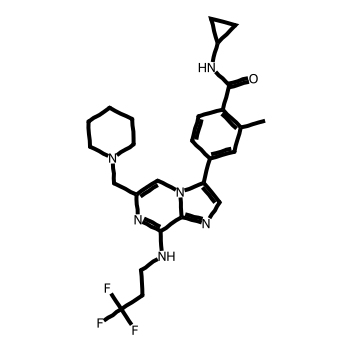 Cc1cc(-c2cnc3c(NCCC(F)(F)F)nc(CN4CCCCC4)cn23)ccc1C(=O)NC1CC1